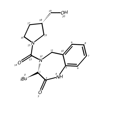 CC[C@H](C)[C@H]1C(=O)Nc2ccccc2CN1C(=O)N1CC[C@H](CO)C1